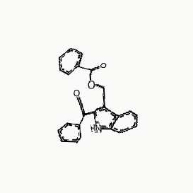 O=C(OCc1c(C(=O)c2ccccc2)[nH]c2ccccc12)c1ccccc1